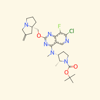 C=C1CN2CCC[C@@]2(COc2nc(N(C)[C@@H]3CCN(C(=O)OC(C)(C)C)[C@@H]3C)c3cnc(Cl)c(F)c3n2)C1